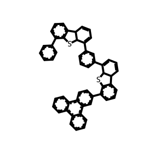 C1=CC2c3cccc(-c4ccccc4)c3SC2C(c2cccc(C3=CC=CC4c5cccc(-c6ccc7c8ccccc8c8ccccc8c7c6)c5SC34)c2)=C1